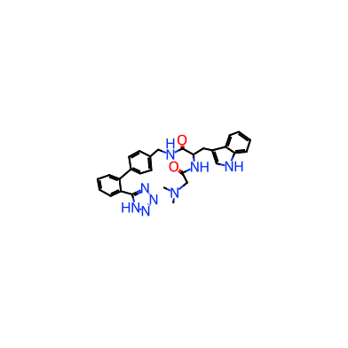 CN(C)CC(=O)NC(Cc1c[nH]c2ccccc12)C(=O)NCc1ccc(-c2ccccc2-c2nnn[nH]2)cc1